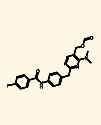 CN(C)c1nc(Cc2ccc(NC(=O)c3ccc(F)cc3)cc2)ncc1COC=O